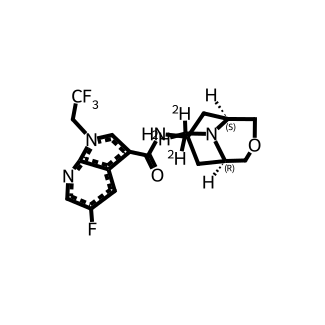 [2H]C([2H])([2H])N1[C@@H]2COC[C@H]1CC(NC(=O)c1cn(CC(F)(F)F)c3ncc(F)cc13)C2